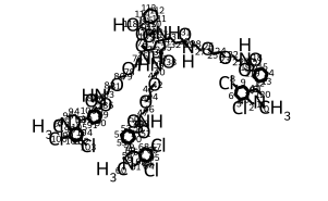 CN1Cc2c(Cl)cc(Cl)cc2[C@H](c2cccc(S(=O)(=O)NCCOCCOCCNC(=O)CCC(CCC(=O)NCCOCCOCCNS(=O)(=O)c3cccc([C@@H]4CN(C)Cc5c(Cl)cc(Cl)cc54)c3)(CCC(=O)NCCOCCOCCNS(=O)(=O)c3cccc([C@@H]4CCN(C)c5c(Cl)cc(Cl)cc54)c3)NC(=O)[C@H]3CCCC[C@@H]3C(=O)O)c2)C1